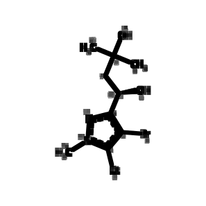 CCc1c(Br)c([C@H](O)CC(C)(C)O)nn1C